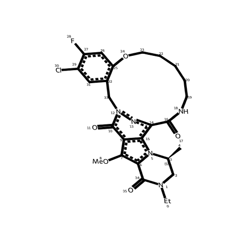 CCN1C[C@H](C)n2c(c(OC)c3c(=O)n4nc(c32)C(=O)NCCCCCOc2cc(F)c(Cl)cc2C4)C1=O